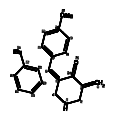 C=C1CNCC(=Cc2ccc(OC)cc2)C1=O.CC(C)(C)c1ccccc1